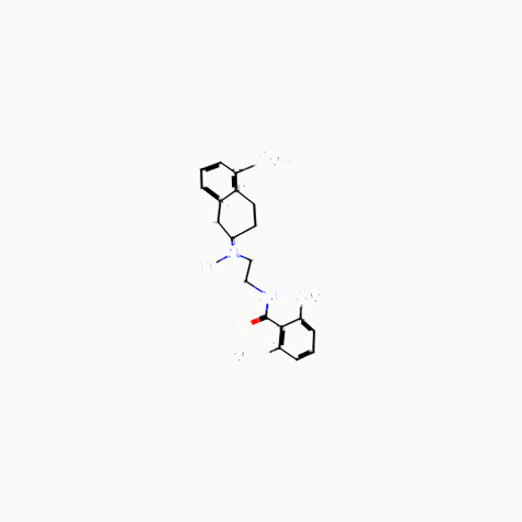 CCCN(CCNC(=O)c1c(OC)cccc1OC)C1CCc2c(cccc2OC)C1